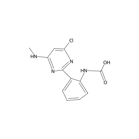 CNc1cc(Cl)nc(-c2ccccc2NC(=O)O)n1